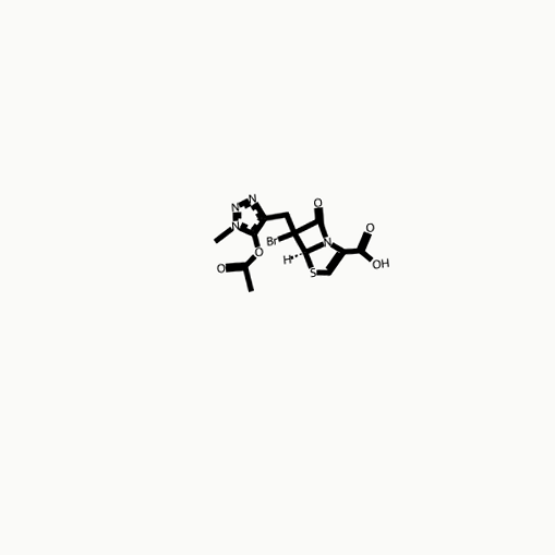 CC(=O)Oc1c(CC2(Br)C(=O)N3C(C(=O)O)=CS[C@H]32)nnn1C